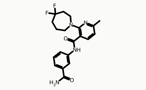 Cc1ccc(C(=O)Nc2cccc(C(N)=O)c2)c(N2CCCC(F)(F)CC2)n1